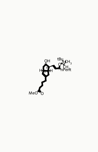 CCCCC[C@@H](C=C[C@H]1[C@@H]2CC(CCCCC(=O)OC)=C[C@@H]2C[C@@H]1O)O[Si](C)(C)C(C)(C)C